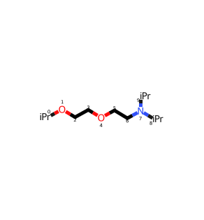 CC(C)OCCOCCN(C(C)C)C(C)C